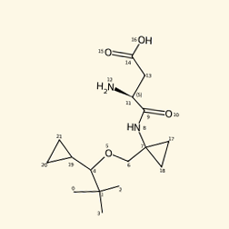 CC(C)(C)C(OCC1(NC(=O)[C@@H](N)CC(=O)O)CC1)C1CC1